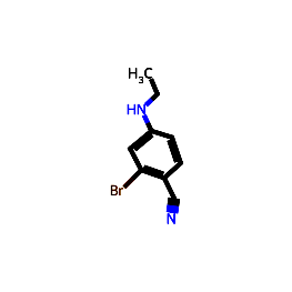 CCNc1ccc(C#N)c(Br)c1